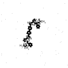 CN(C)C(=O)NC(C(=O)N1CCCC1c1nc(-c2ccc(-c3ccc(-c4c[nH]c(C5CCCN5C(=O)C(NC(=O)N(C)C)c5ccccc5)n4)cc3)cc2)c[nH]1)c1ccccc1